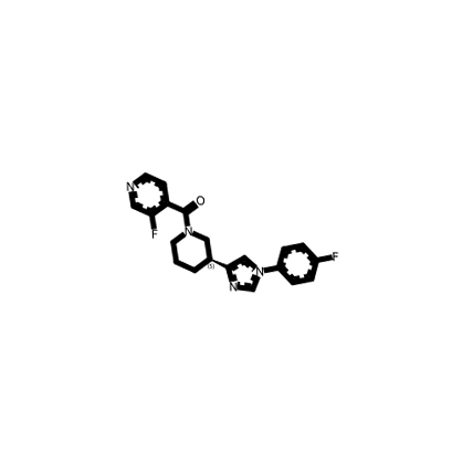 O=C(c1ccncc1F)N1CCC[C@H](c2cn(-c3ccc(F)cc3)cn2)C1